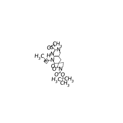 C[C@@H]1C2CC1(N1C(=O)C3(CCN(C(=O)OC(C)(C)C)C3=O)Cc3cnc([S+](C)[O-])nc31)C2